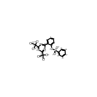 O=S(=O)(Oc1ccccc1-c1nc(C(Cl)(Cl)Cl)nc(C(Cl)(Cl)Cl)n1)c1ccccc1